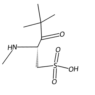 CN[C@@H](CS(=O)(=O)O)C(=O)C(C)(C)C